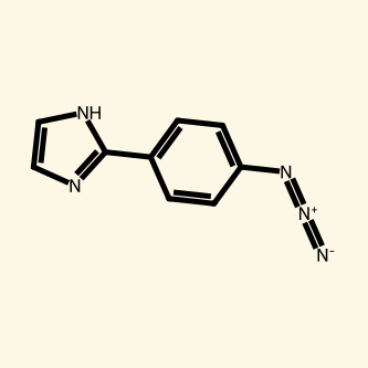 [N-]=[N+]=Nc1ccc(-c2ncc[nH]2)cc1